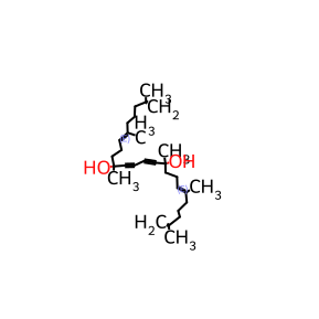 C=C(C)CCC/C(C)=C/CCC(C)(O)C#CC#CC(C)(O)CC/C=C(\C)CCCC(=C)C